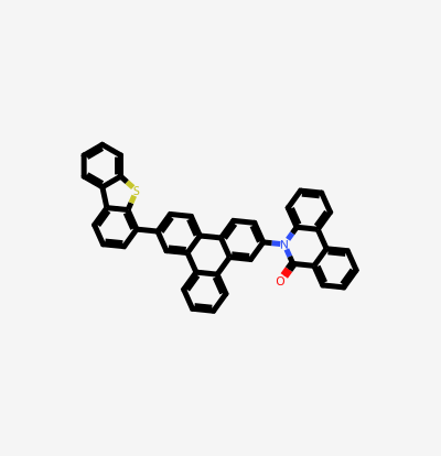 O=c1c2ccccc2c2ccccc2n1-c1ccc2c3ccc(-c4cccc5c4sc4ccccc45)cc3c3ccccc3c2c1